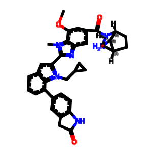 COc1cc(C(=O)N2C[C@H]3CC[C@@H]2[C@@H]3N)cc2nc(-c3cc4cccc(-c5ccc6c(c5)CC(=O)N6)c4n3CC3CC3)n(C)c12